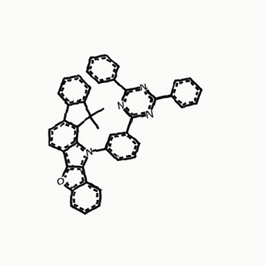 CC1(C)c2ccccc2-c2ccc3c4oc5ccccc5c4n(-c4cccc(-c5nc(-c6ccccc6)nc(-c6ccccc6)n5)c4)c3c21